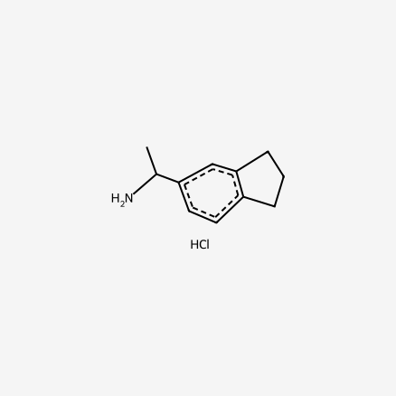 CC(N)c1ccc2c(c1)CCC2.Cl